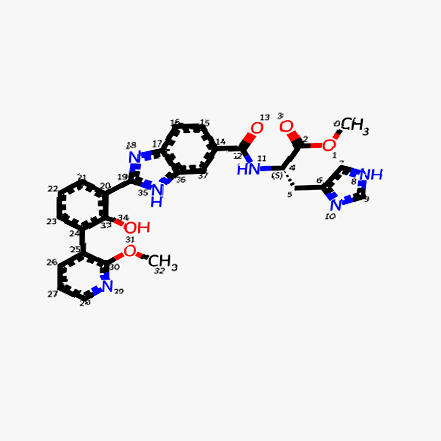 COC(=O)[C@H](Cc1c[nH]cn1)NC(=O)c1ccc2nc(-c3cccc(-c4cccnc4OC)c3O)[nH]c2c1